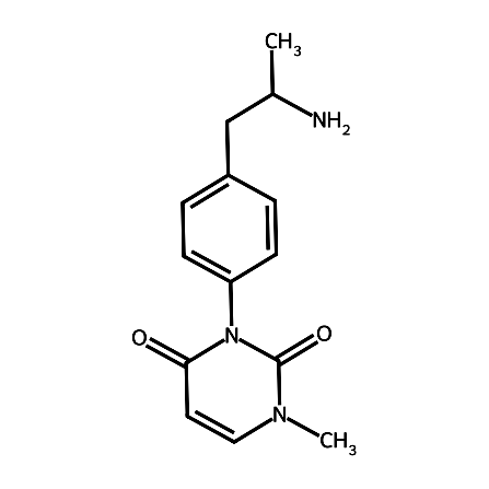 CC(N)Cc1ccc(-n2c(=O)ccn(C)c2=O)cc1